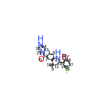 O=C(c1ccc2c(c1)C1(CC1)CC(c1cc(F)ccc1Br)N2)N1CCNCC1